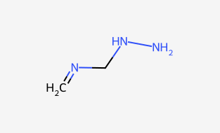 C=NCNN